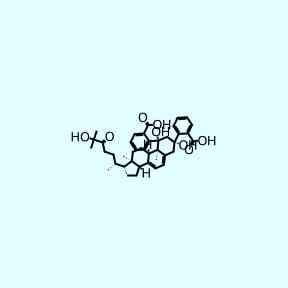 C[C@H](CCC(=O)C(C)(C)O)[C@H]1CC[C@H]2C3=CC=C4C[C@](O)(c5ccccc5C(=O)O)C[C@@](O)(c5ccccc5C(=O)O)[C@]4(C)[C@H]3CC[C@]12C